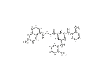 Cc1ccccc1Nc1nc(NCCNc2ccnc3cc(Cl)ccc23)nc(Nc2ccccc2C)n1